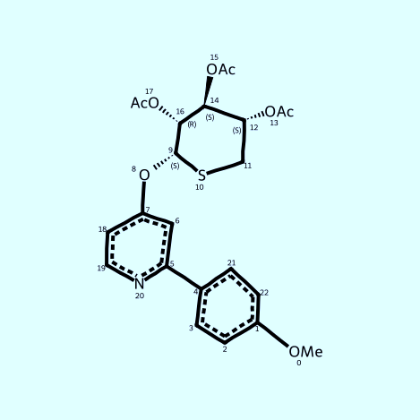 COc1ccc(-c2cc(O[C@H]3SC[C@@H](OC(C)=O)[C@H](OC(C)=O)[C@H]3OC(C)=O)ccn2)cc1